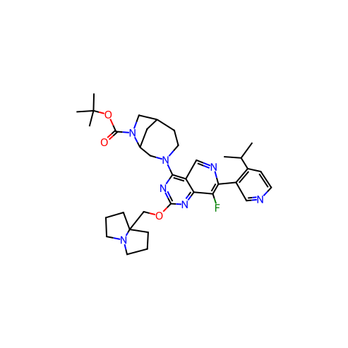 CC(C)c1ccncc1-c1ncc2c(N3CCC4CC(C3)N(C(=O)OC(C)(C)C)C4)nc(OCC34CCCN3CCC4)nc2c1F